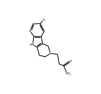 NC(=O)CCN1CCc2[nH]c3ncc(Cl)cc3c2C1